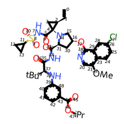 C=C[C@@H]1C[C@@]1(C(=O)NS(=O)(=O)C1CC1)N1C[C@H](Oc2ncc(OC)c3ccc(Cl)cc23)C[C@H]1C(=O)NC(=O)[C@@H](Nc1cccc(C(=O)OC(C)C)c1)C(C)(C)C